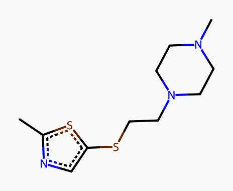 Cc1ncc(SCCN2CCN(C)CC2)s1